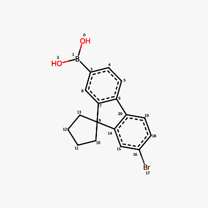 OB(O)c1ccc2c(c1)C1(CCCC1)c1cc(Br)ccc1-2